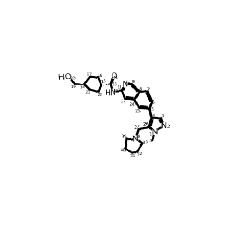 Cn1ncc(-c2ccc3cnc(NC(=O)[C@H]4CC[C@H](CO)CC4)cc3c2)c1CN1CCCCC1